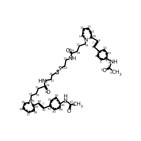 CC(=O)Nc1ccc(/C=C/c2cccc[n+]2CCCC(=O)NCCSSCCNC(=O)CCC[n+]2ccccc2/C=C/c2ccc(NC(C)=O)cc2)cc1